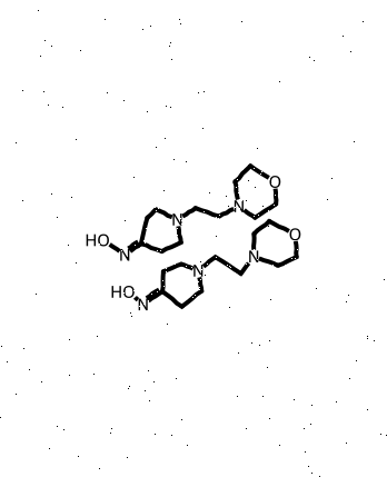 ON=C1CCN(CCN2CCOCC2)CC1.ON=C1CCN(CCN2CCOCC2)CC1